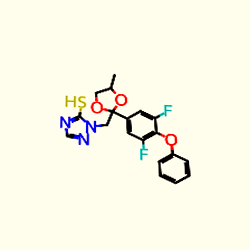 CC1COC(Cn2ncnc2S)(c2cc(F)c(Oc3ccccc3)c(F)c2)O1